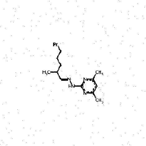 Cc1cc(C)nc(NN=CC(C)CCCC(C)C)n1